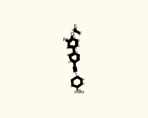 CCCC[C@H]1CC[C@H](C#Cc2ccc(-c3ccc(OC(F)F)c(F)c3)cc2)CC1